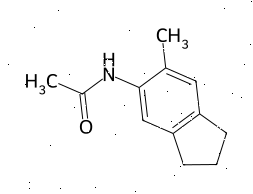 CC(=O)Nc1cc2c(cc1C)CCC2